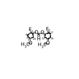 COc1ccc(F)c(OBOc2cc(OC)ccc2F)c1